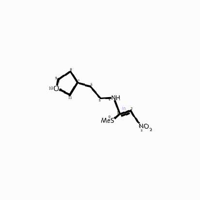 CS/C(=C\[N+](=O)[O-])NCCC1CCOC1